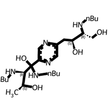 CCCCN[C@H]([C@H](C)O)C(O)(NCCCC)c1cnc(C[C@H](O)[C@@H](CO)NCCCC)cn1